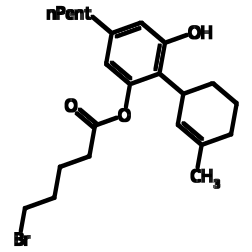 CCCCCc1cc(O)c(C2C=C(C)CCC2)c(OC(=O)CCCCBr)c1